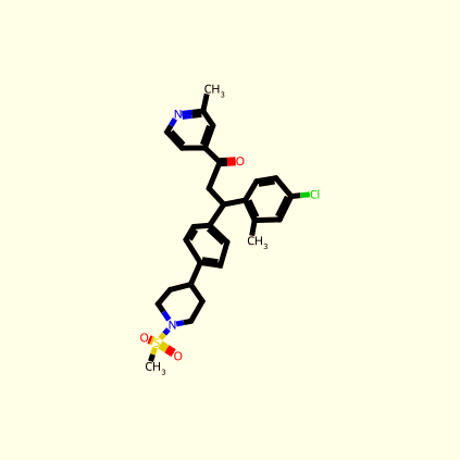 Cc1cc(C(=O)CC(c2ccc(C3CCN(S(C)(=O)=O)CC3)cc2)c2ccc(Cl)cc2C)ccn1